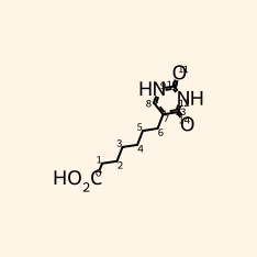 O=C(O)CCCCCCc1c[nH]c(=O)[nH]c1=O